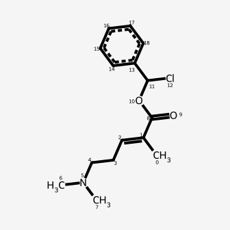 CC(=CCCN(C)C)C(=O)OC(Cl)c1ccccc1